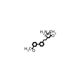 CC(=O)c1cccc(-c2cccc(CCc3cc(=O)n(C)c(N)n3)c2)c1